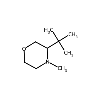 CN1CCOCC1C(C)(C)C